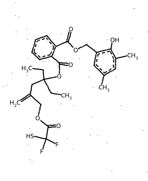 C=C(COC(=O)C(F)(F)S)CC(CC)(CC)OC(=O)c1ccccc1C(=O)OCc1cc(C)cc(C)c1O